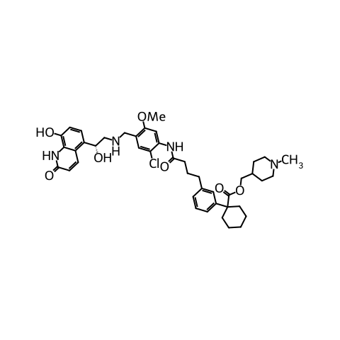 COc1cc(NC(=O)CCCc2cccc(C3(C(=O)OCC4CCN(C)CC4)CCCCC3)c2)c(Cl)cc1CNC[C@H](O)c1ccc(O)c2[nH]c(=O)ccc12